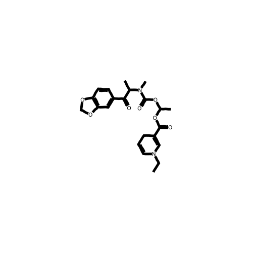 CCN1C=CCC(C(=O)OC(C)OC(=O)N(C)C(C)C(=O)c2ccc3c(c2)OCO3)=C1